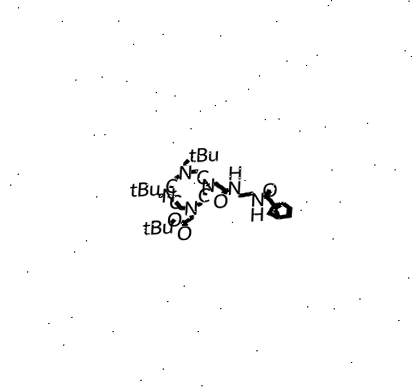 CC(C)(C)CN1CCN(CC(=O)NCCNC(=O)C2CC3C=CC2C3)CCN(CC(=O)OC(C)(C)C)CCN(CC(C)(C)C)CC1